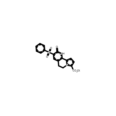 CCOC(=O)c1ccc2n1CCc1cc(S(=O)(=O)c3ccccc3)c(=O)[nH]c1-2